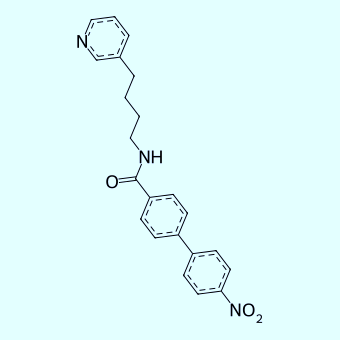 O=C(NCCCCc1cccnc1)c1ccc(-c2ccc([N+](=O)[O-])cc2)cc1